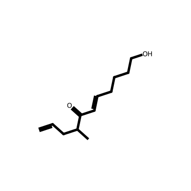 C=CCC(C)C(=O)C=CCCCCO